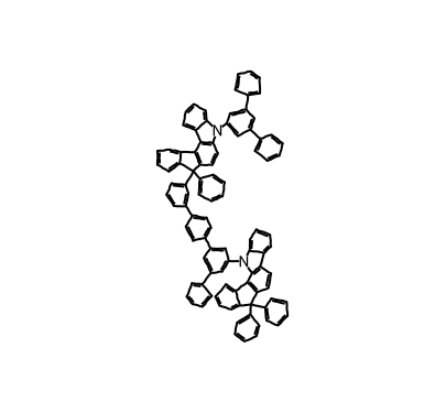 c1ccc(-c2cc(-c3ccccc3)cc(-n3c4ccccc4c4c5c(ccc43)C(c3ccccc3)(c3cccc(-c4ccc(-c6cc(-c7ccccc7)cc(-n7c8ccccc8c8ccc9c(c87)-c7ccccc7C9(c7ccccc7)c7ccccc7)c6)cc4)c3)c3ccccc3-5)c2)cc1